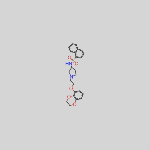 O=S(=O)(NC1CCN(CCOc2cccc3c2OCCO3)C1)c1cccc2ccccc12